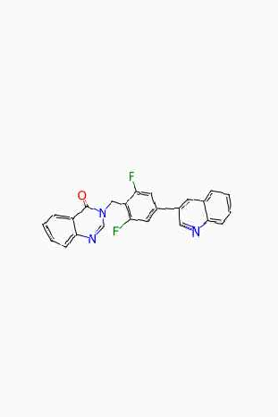 O=c1c2ccccc2ncn1Cc1c(F)cc(-c2cnc3ccccc3c2)cc1F